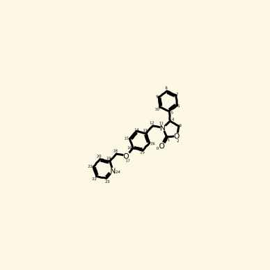 O=C1OCC(c2ccccc2)N1Cc1ccc(OCc2ccccn2)cc1